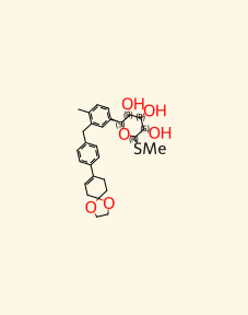 CS[C@H]1O[C@@H](c2ccc(C)c(Cc3ccc(C4=CCC5(CC4)OCCO5)cc3)c2)[C@H](O)[C@@H](O)[C@@H]1O